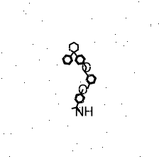 CC(=N)c1ccc(OCc2cccc(COc3ccc(C4(c5ccccc5)CCCCC4)cc3)c2)cc1